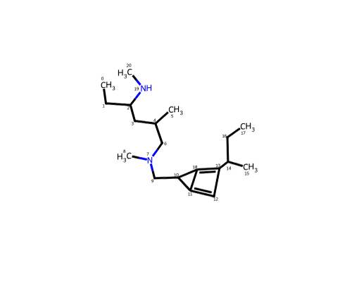 CCC(CC(C)CN(C)CC1C2=CC(C(C)CC)=C21)NC